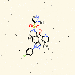 CCn1nccc1S(=O)(=O)N1CC[C@H]2Cc3c(cnn3-c3ccc(F)cc3)C[C@]2(C(=O)c2cc(C(F)(F)F)ccn2)C1